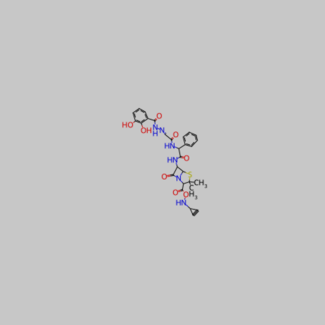 CC1(C)SC2C(NC(=O)C(NC(=O)/C=N/NC(=O)c3cccc(O)c3O)c3ccccc3)C(=O)N2C1C(=O)ONC1C#C1